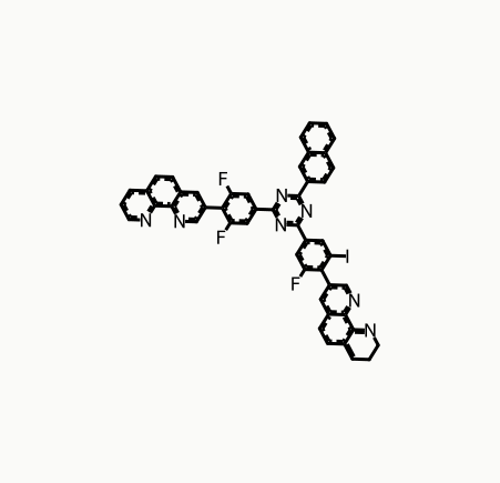 Fc1cc(-c2nc(-c3cc(F)c(-c4cnc5c6c(ccc5c4)=CCCN=6)c(I)c3)nc(-c3ccc4ccccc4c3)n2)cc(F)c1-c1cnc2c(ccc3cccnc32)c1